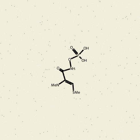 CN/C(=C\SC)C(=O)NOP(=O)(O)O